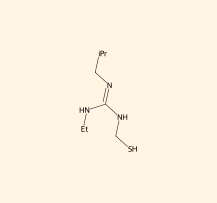 CCN/C(=N\CC(C)C)NCS